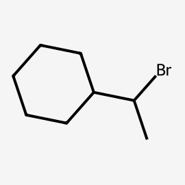 CC(Br)C1CCCCC1